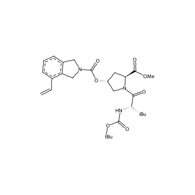 C=Cc1cccc2c1CN(C(=O)O[C@@H]1C[C@@H](C(=O)OC)N(C(=O)[C@@H](NC(=O)OC(C)(C)C)[C@@H](C)CC)C1)C2